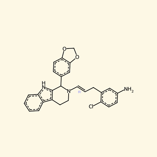 Nc1ccc(Cl)c(C/C=C/N2CCc3c([nH]c4ccccc34)C2c2ccc3c(c2)OCO3)c1